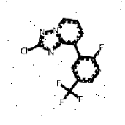 Fc1ccc(C(F)(F)F)cc1-c1cccn2nc(Cl)nc12